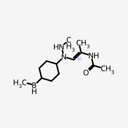 CBC1CCC(N(/C=C(\C)NC(C)=O)NC)CC1